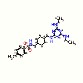 CCNc1nc(NCC)nc(NCC2CCC(CNS(=O)(=O)c3ccc(C)cc3)CC2)n1